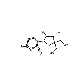 C[C@@H]1[C@H](n2ccc(N)nc2=O)OC(CO)(CO)[C@H]1O